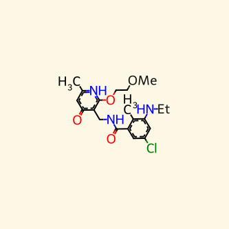 CCNc1cc(Cl)cc(C(=O)NCc2c(OCCOC)[nH]c(C)cc2=O)c1C